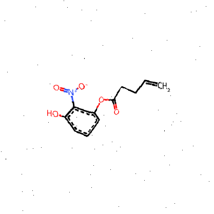 C=CCCC(=O)Oc1cccc(O)c1[N+](=O)[O-]